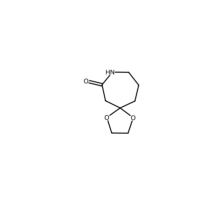 O=C1CC2(CCCN1)OCCO2